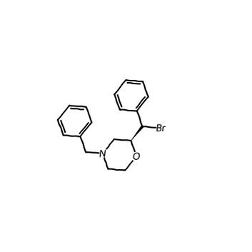 BrC(c1ccccc1)[C@@H]1CN(Cc2ccccc2)CCO1